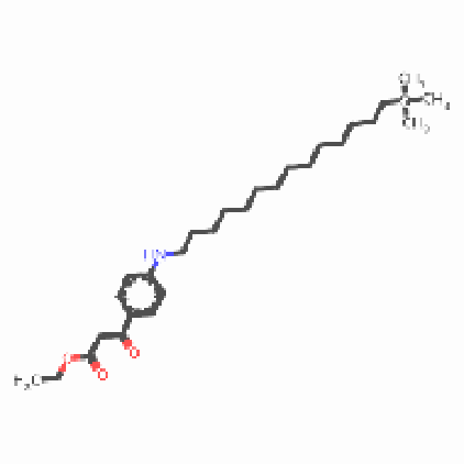 CCOC(=O)CC(=O)c1ccc(NCCCCCCCCCCCCCC[Si](C)(C)C)cc1